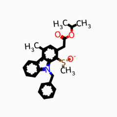 Cc1cc(CC(=O)OC(C)C)c([S+](C)[O-])c2c1c1ccccc1n2Cc1ccccc1